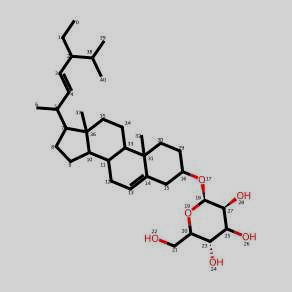 CCC(/C=C/C(C)C1CCC2C3CC=C4CC(O[C@@H]5OC(CO)[C@@H](O)C(O)[C@@H]5O)CCC4(C)C3CCC12C)C(C)C